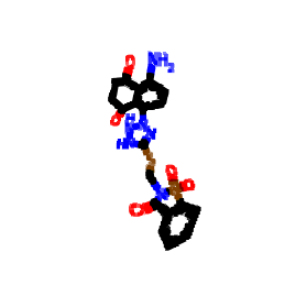 Nc1ccc(N2N=C(SCN3C(=O)c4ccccc4S3(=O)=O)NN2)c2c1C(=O)CCC2=O